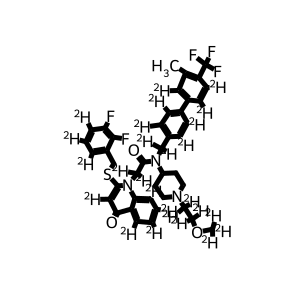 [2H]c1c([2H])c(F)c(F)c(CSc2c([2H])c(=O)c3c([2H])c([2H])c([2H])c([2H])c3n2C([2H])([2H])C(=O)N(C2CCN(C([2H])([2H])C([2H])([2H])OC([2H])([2H])[2H])CC2)C([2H])([2H])c2c([2H])c([2H])c(-c3c([2H])c([2H])c(C(F)(F)F)c(C)c3[2H])c([2H])c2[2H])c1[2H]